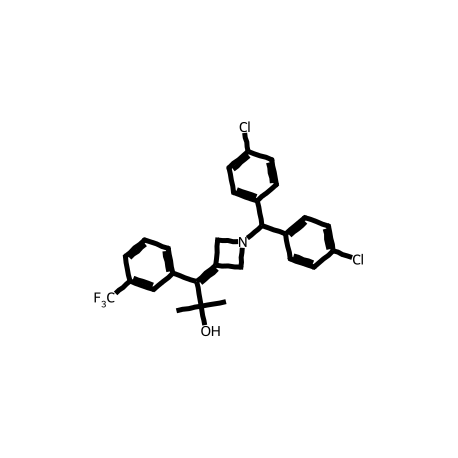 CC(C)(O)C(=C1CN(C(c2ccc(Cl)cc2)c2ccc(Cl)cc2)C1)c1cccc(C(F)(F)F)c1